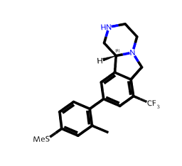 CSc1ccc(-c2cc3c(c(C(F)(F)F)c2)CN2CCNC[C@@H]32)c(C)c1